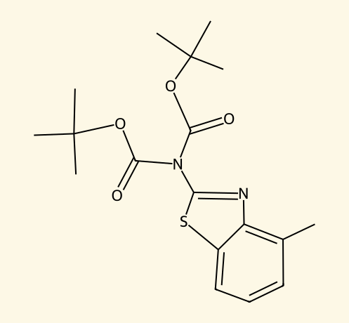 Cc1cccc2sc(N(C(=O)OC(C)(C)C)C(=O)OC(C)(C)C)nc12